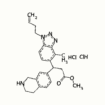 C=CCCn1nnc2c(C)c(C(CC(=O)OC)c3ccc4c(c3)CNCC4)ccc21.Cl.Cl